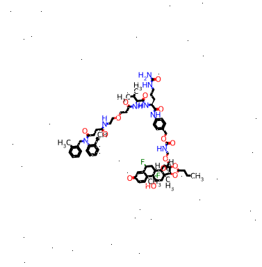 C#Cc1ccccc1N(Cc1ccccc1C)C(=O)CCC(=O)NCCOCCC(=O)N[C@H](C(=O)N[C@@H](CCCNC(N)=O)C(=O)Nc1ccc(COC(=O)NCOCC(=O)[C@@]23OC(CCC)O[C@@H]2CC2[C@@H]4C[C@H](F)C5=CC(=O)C=C[C@]5(C)[C@@]4(F)[C@@H](O)C[C@@]23C)cc1)C(C)C